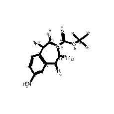 [2H]C1c2ccc(N)cc2C([2H])C([2H])N(C(=O)OC(C)(C)C)C1[2H]